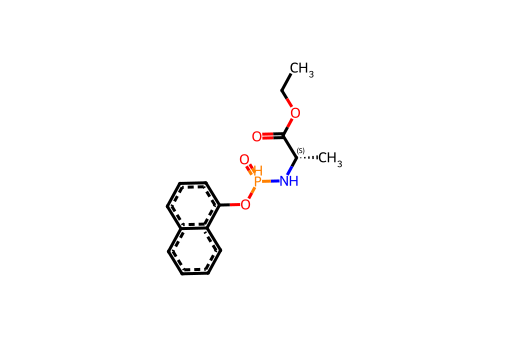 CCOC(=O)[C@H](C)N[PH](=O)Oc1cccc2ccccc12